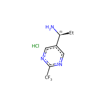 CC[C@H](N)c1cnc(C(F)(F)F)nc1.Cl